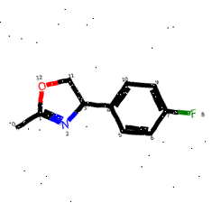 CC1=NC(c2ccc(F)cc2)CO1